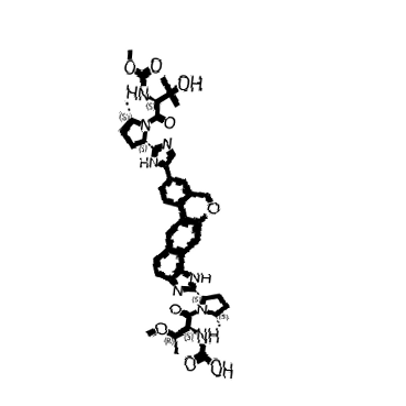 COC(=O)N[C@H](C(=O)N1[C@@H](C)CC[C@H]1c1ncc(-c2ccc3c(c2)COc2cc4c(ccc5nc([C@@H]6CC[C@H](C)N6C(=O)[C@@H](NC(=O)O)[C@@H](C)OC)[nH]c54)cc2-3)[nH]1)C(C)(C)O